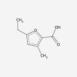 CCc1cc(C)c(C(=O)O)o1